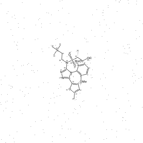 COc1cccc(OC)c1-n1c(-c2ccc(C)o2)nnc1N(CC[Si](C)(C)C)S(=O)(=O)[C@H](C)CO